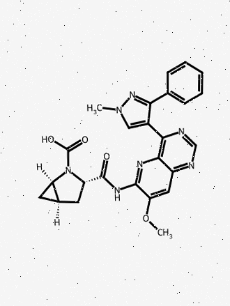 COc1cc2ncnc(-c3cn(C)nc3-c3ccccc3)c2nc1NC(=O)[C@@H]1C[C@H]2C[C@H]2N1C(=O)O